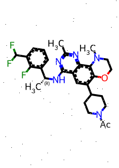 CC(=O)N1CCC(c2cc3c(N[C@H](C)c4cccc(C(F)F)c4F)nc(C)nc3c3c2OCCN3C)CC1